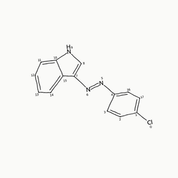 Clc1ccc(N=Nc2c[nH]c3ccccc23)cc1